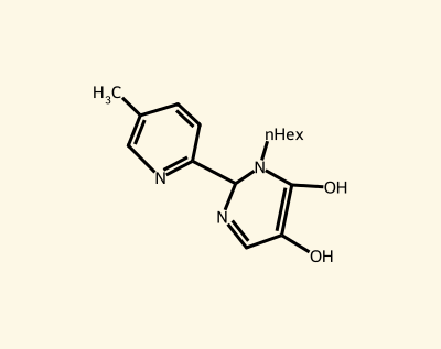 CCCCCCN1C(O)=C(O)C=NC1c1ccc(C)cn1